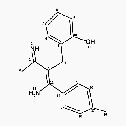 CC(=N)/C(Cc1ccccc1O)=C(\N)c1ccc(C)cc1